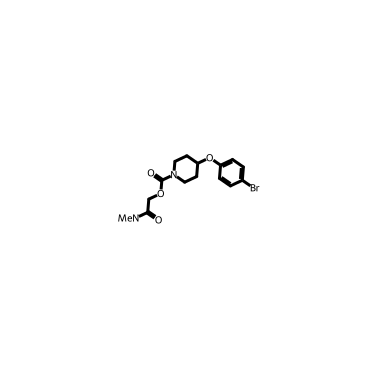 CNC(=O)COC(=O)N1CCC(Oc2ccc(Br)cc2)CC1